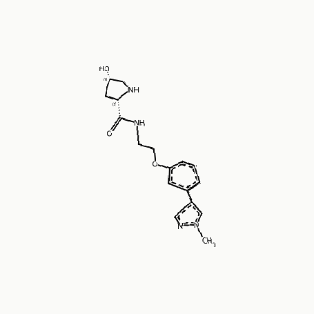 Cn1cc(-c2c[c]cc(OCCNC(=O)[C@@H]3C[C@H](O)CN3)c2)cn1